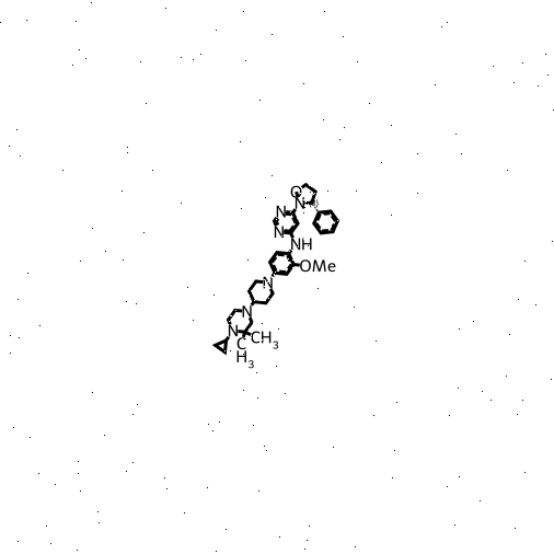 COc1cc(N2CCC(N3CCN(C4CC4)C(C)(C)C3)CC2)ccc1Nc1cc(N2OCC[C@@H]2c2ccccc2)ncn1